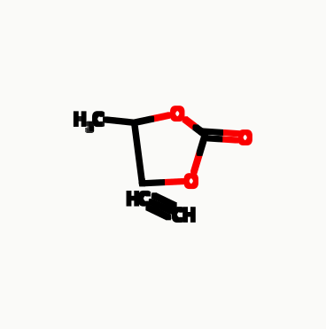 C#C.CC1COC(=O)O1